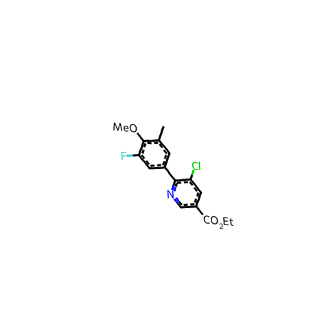 CCOC(=O)c1cnc(-c2cc(C)c(OC)c(F)c2)c(Cl)c1